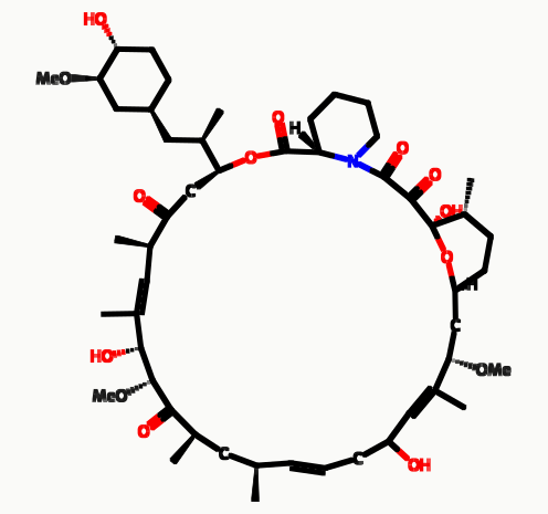 CO[C@H]1C[C@@H]2CC[C@@H](C)[C@@](O)(O2)C(=O)C(=O)N2CCCC[C@H]2C(=O)O[C@H]([C@H](C)C[C@@H]2CC[C@@H](O)[C@H](OC)C2)CC(=O)[C@H](C)/C=C(\C)[C@@H](O)[C@@H](OC)C(=O)[C@H](C)C[C@H](C)/C=C/CC(O)/C=C/1C